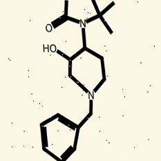 CC(C)(C)N(C(=O)O)C1CCN(Cc2ccccc2)CC1O